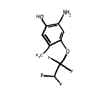 Nc1cc(OC(F)(F)C(F)F)c(C(F)(F)F)cc1O